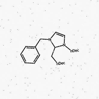 CCCCCCCCCCCC1N(CCCCCCCCCC)C=CN1Cc1ccccc1